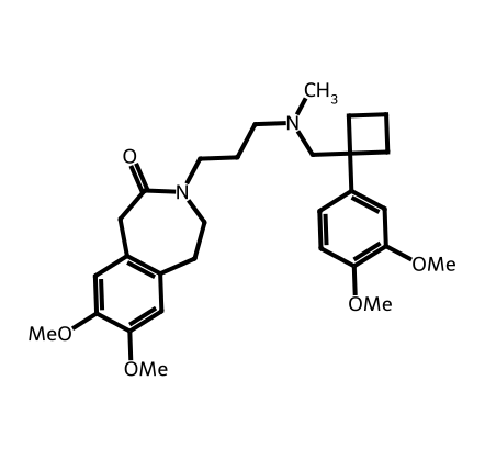 COc1ccc(C2(CN(C)CCCN3CCc4cc(OC)c(OC)cc4CC3=O)CCC2)cc1OC